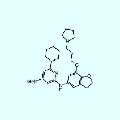 CNc1cc(C2CCCCC2)nc(Nc2cc3c(c(OCCCN4CCCC4)c2)OCC3)n1